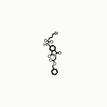 O=C(CN1C(=O)c2ccc(NS(=O)(=O)CCCBr)cc2C1=O)OCc1ccccc1